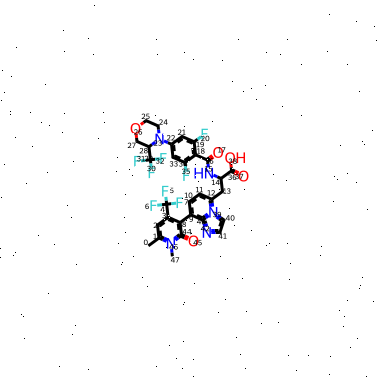 Cc1cc(C(F)(F)F)c(-c2ccc(CC(NC(=O)c3c(F)cc(N4CCOCC4C(F)(F)F)cc3F)C(=O)O)n3ccnc23)c(=O)n1C